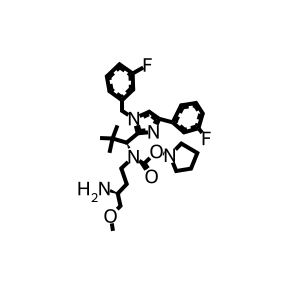 COC[C@@H](N)CCN(C(=O)ON1CCCC1)[C@@H](c1nc(-c2cccc(F)c2)cn1Cc1cccc(F)c1)C(C)(C)C